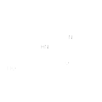 CO/C(=N\C(C)C)NCCO